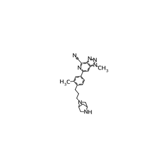 Cc1cc(-c2cc3c(nnn3C)c(C#N)n2)ccc1CCCN1CC2CC1CN2